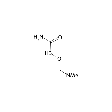 CNCOBC(N)=O